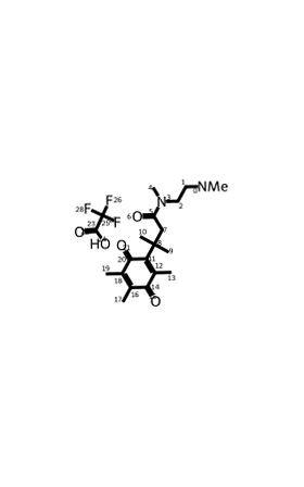 CNCCN(C)C(=O)CC(C)(C)C1=C(C)C(=O)C(C)=C(C)C1=O.O=C(O)C(F)(F)F